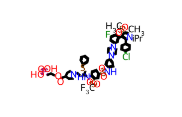 Cc1c(S(C)(=O)=O)c(-c2cc(F)cc(N3CCN(c4ccc(NS(=O)(=O)c5ccc(N[C@H](CCN6CCC(C(=O)OCCCP(=O)(O)O)CC6)CSc6ccccc6)c(S(=O)(=O)C(F)(F)F)c5)cc4)CC3)c2)c(-c2ccc(Cl)cc2)n1C(C)C